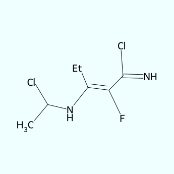 CC/C(NC(C)Cl)=C(/F)C(=N)Cl